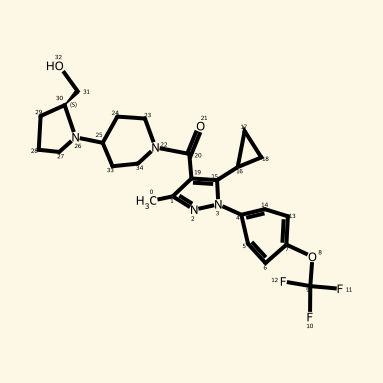 Cc1nn(-c2ccc(OC(F)(F)F)cc2)c(C2CC2)c1C(=O)N1CCC(N2CCC[C@H]2CO)CC1